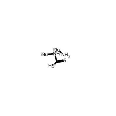 CCC(C)N.CCC(C)NC(=S)S